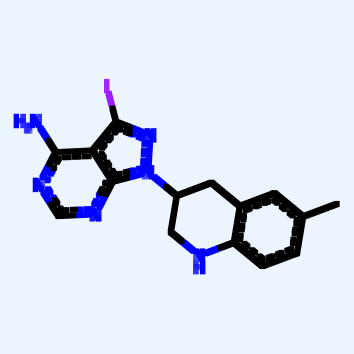 Cc1ccc2c(c1)CC(n1nc(I)c3c(N)ncnc31)CN2